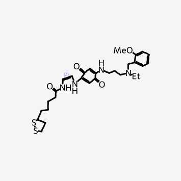 CCN(CCCNC1=CC(=O)C(N/C=C\NC(=O)CCCCC2CCSS2)=CC1=O)Cc1ccccc1OC